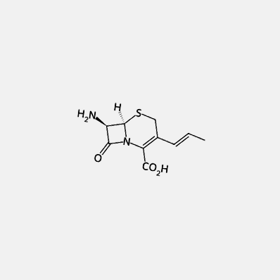 C/C=C/C1=C(C(=O)O)N2C(=O)[C@@H](N)[C@H]2SC1